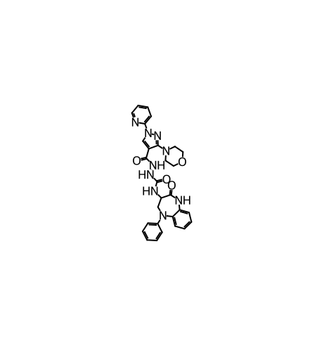 O=C(NNC(=O)c1cn(-c2ccccn2)nc1N1CCOCC1)NC1CN(c2ccccc2)c2ccccc2NC1=O